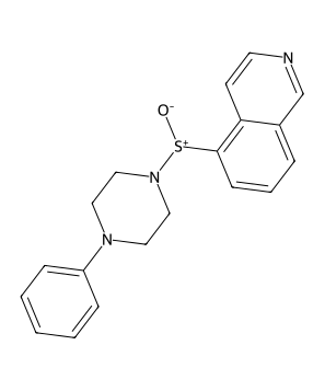 [O-][S+](c1cccc2cnccc12)N1CCN(c2ccccc2)CC1